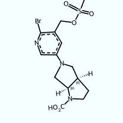 CS(=O)(=O)OCc1cc(N2C[C@H]3CCN(C(=O)O)[C@H]3C2)cnc1Br